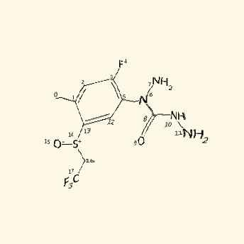 Cc1cc(F)c(N(N)C(=O)NN)cc1[S+]([O-])CC(F)(F)F